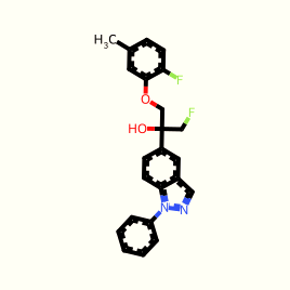 Cc1ccc(F)c(OCC(O)(CF)c2ccc3c(cnn3-c3ccccc3)c2)c1